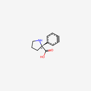 O=C(O)[C@]1(c2cc#ccc2)CCCN1